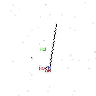 CCCCCCCCCCCCCCCCCCCCCCN(CC)CC(O)O.Cl